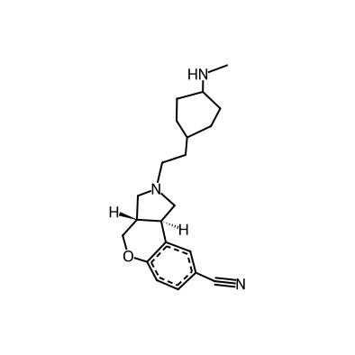 CNC1CCC(CCN2C[C@H]3COc4ccc(C#N)cc4[C@@H]3C2)CC1